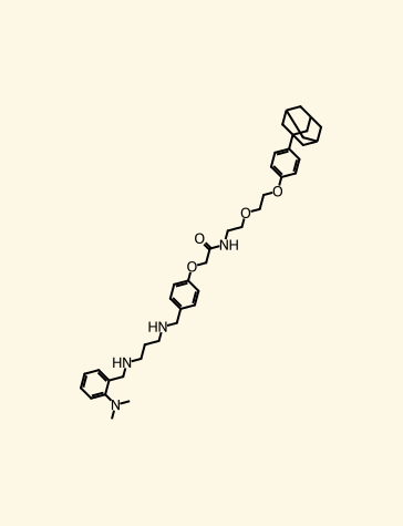 CN(C)c1ccccc1CNCCCNCc1ccc(OCC(=O)NCCOCCOc2ccc(C34CC5CC(CC(C5)C3)C4)cc2)cc1